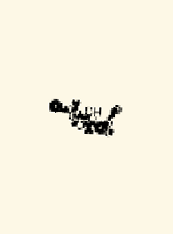 COCCCOc1cc(CC(C[C@H](C(=O)O)[C@H](C[C@H](C(=O)OCc2ccccc2)C(C)C)OC(C)=O)C(C)C)ccc1OC